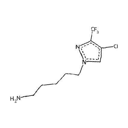 NCCCCCn1cc(Cl)c(C(F)(F)F)n1